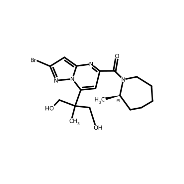 C[C@@H]1CCCCCN1C(=O)c1cc(C(C)(CO)CO)n2nc(Br)cc2n1